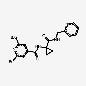 CC(C)(C)c1cc(C(=O)NC2(C(=O)NCc3ccccn3)CC2)cc(C(C)(C)C)n1